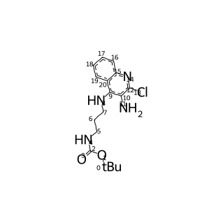 CC(C)(C)OC(=O)NCCCNc1c(N)c(Cl)nc2ccccc12